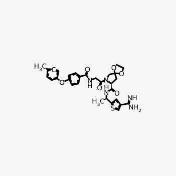 Cc1ccc(Oc2ccc(C(=O)NCC(=O)N3CC4(C[C@H]3C(=O)N[C@H](C)c3cc(C(=N)N)cs3)OCCO4)cc2)cc1